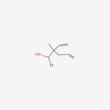 C=CCC(C)(C=C)C(O)CC